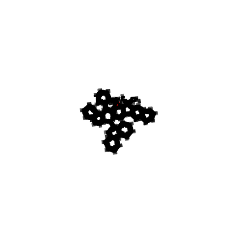 CC1(C)c2ccc(N(c3ccc4ccccc4c3-c3cccc4ccccc34)c3cc4ccccc4c4ccccc34)cc2-c2cc3ccccc3cc21